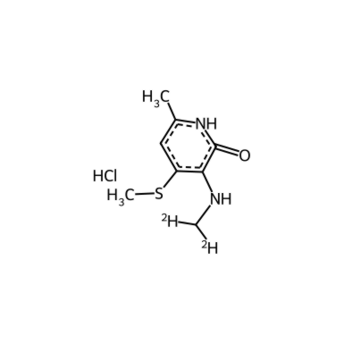 Cl.[2H]C([2H])Nc1c(SC)cc(C)[nH]c1=O